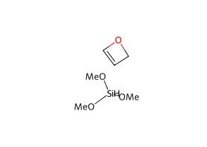 C1=COC1.CO[SiH](OC)OC